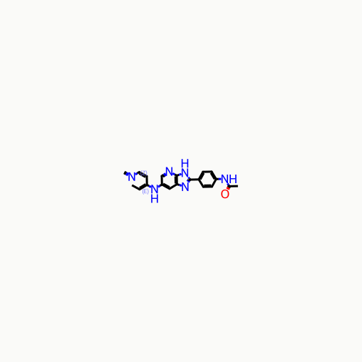 C=N/C=C\C(=C/C)Nc1cnc2[nH]c(-c3ccc(NC(C)=O)cc3)nc2c1